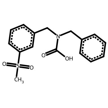 CS(=O)(=O)c1cccc(CN(Cc2ccccc2)C(=O)O)c1